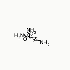 NCCSSCCN(C(=O)CN)C(=O)CN